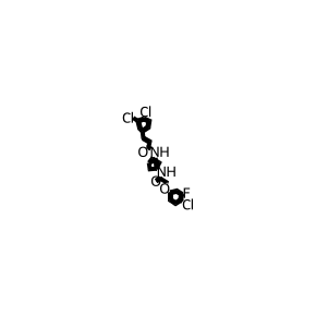 O=C(/C=C/c1ccc(Cl)c(Cl)c1)NC1CC2(NC(=O)COc3ccc(Cl)c(F)c3)CC1C2